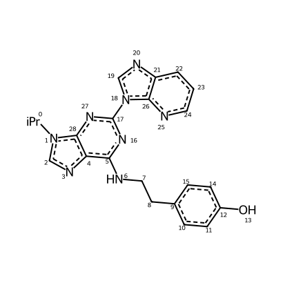 CC(C)n1cnc2c(NCCc3ccc(O)cc3)nc(-n3cnc4cccnc43)nc21